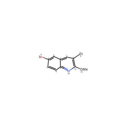 CCc1cc2cc(Br)ccc2nc1OC